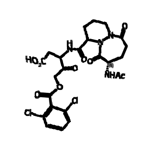 CC(=O)N[C@H]1CCC(=O)N2CCCC(C(=O)NC(CC(=O)O)C(=O)COC(=O)c3c(Cl)cccc3Cl)N2C1=O